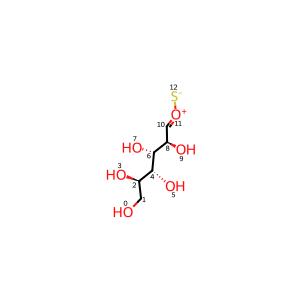 OC[C@@H](O)[C@@H](O)[C@H](O)[C@H](O)C=[O+][S-]